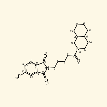 O=C(CCCCN1C(=O)c2ccc(F)cc2C1=O)N1CCC2CCCCC2C1